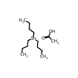 CC(=O)O.CCC[CH2][Sn]([CH2]CCC)[CH2]CCC